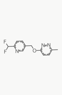 Cc1ccc(OCc2ccc(C(F)F)nc2)nn1